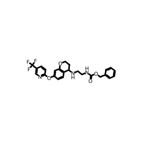 O=C(NCCNC1CCOc2cc(Oc3ccc(C(F)(F)F)cn3)ccc21)OCc1ccccc1